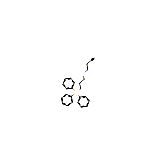 C#CCCNCCC[P+](c1ccccc1)(c1ccccc1)c1ccccc1.[Br-]